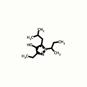 CCc1nn(C(C)CC)c(CC(C)C)c1O